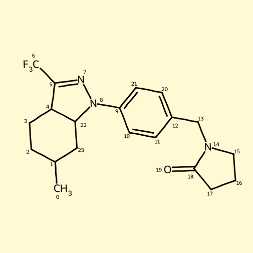 CC1CCC2C(C(F)(F)F)=NN(c3ccc(CN4CCCC4=O)cc3)C2C1